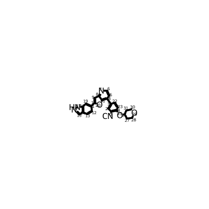 N#Cc1cc(-c2ccnc3cc(-c4ccc5cn[nH]c5c4)oc23)ccc1OC1CCOCC1